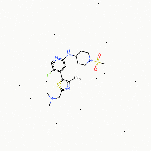 CN(C)Cc1nc(C(F)(F)F)c(-c2cc(NC3CCN(S(C)(=O)=O)CC3)ncc2F)s1